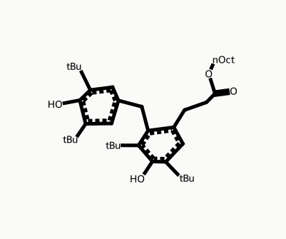 CCCCCCCCOC(=O)CCc1cc(C(C)(C)C)c(O)c(C(C)(C)C)c1Cc1cc(C(C)(C)C)c(O)c(C(C)(C)C)c1